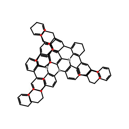 C1=CCCC(C2=CC(c3cccc(C4=CC(C5=CCCC=C5)=CCC4)c3N3c4cc(C5CCCCC5)ccc4B4c5ccc(C6CCCCC6)cc5N(C5=C(c6cccc(-c7ccccc7)c6)CCC=C5C5C=CC=C(C6=CC=CCC6)C5)c5cc(C6CCCCC6)cc3c54)=CCC2)=C1